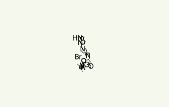 COC(=O)C[C@H](CN1CC2(CCN(Cc3ccc4cc[nH]c4n3)CC2)C1)c1cc(Br)cc(-n2nc(C)cc2C)c1